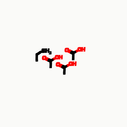 CC(=O)O.CC(=O)O.CC(=O)O.CC[SiH3]